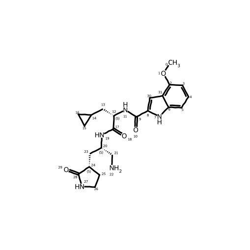 COc1cccc2[nH]c(C(=O)N[C@@H](CC3CC3)C(=O)N[C@H](CN)C[C@@H]3CCNC3=O)cc12